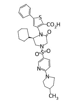 CC1CCN(c2ccc(S(=O)(=O)N3CC(=O)N(c4cc(-c5ccccc5)sc4C(=O)O)[C@H](C4CCCCC4)C3)cn2)CC1